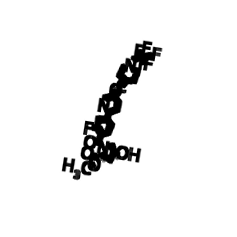 COC(=O)[C@@H]1C[C@@H](O)CN1C(=O)c1ccc(-c2ccc(OCC3CCN(CC(F)(F)C(F)(F)F)CC3)cn2)cc1F